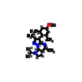 CCOc1cc(C)c(-c2c(C)nn3c2nc(C)c2ccn(C(CC)CC)c23)c(C)c1